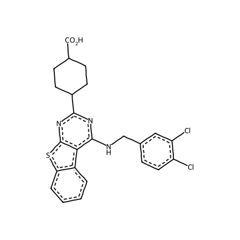 O=C(O)C1CCC(c2nc(NCc3ccc(Cl)c(Cl)c3)c3c(n2)sc2ccccc23)CC1